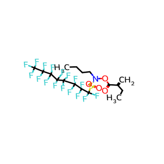 C=C(CC)C(=O)ON(CCCC)S(=O)(=O)C(F)(F)C(F)(F)C(F)(F)C(F)(F)C(F)(F)C(F)(F)C(F)(F)C(F)(F)F